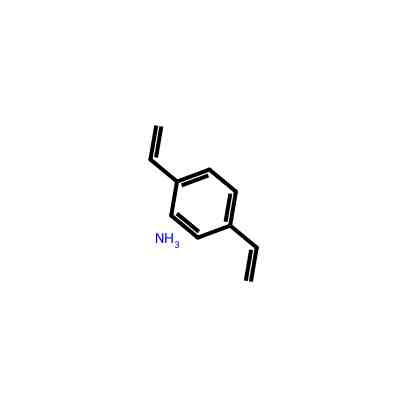 C=Cc1ccc(C=C)cc1.N